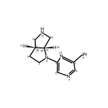 CC(C)c1cncc(N2CC[C@@H]3CNC[C@@H]32)n1